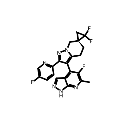 Cc1nc2[nH]ncc2c(-c2c(-c3ccc(F)cn3)nn3c2CC[C@@]2(C3)CC2(F)F)c1F